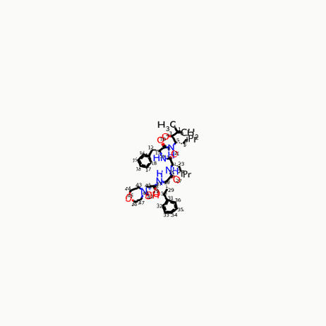 C=C(C)C(=O)[C@H](CC(C)C)NC(=O)[C@H](Cc1ccccc1)NC(=O)[C@H](CC(C)C)NC(=O)[C@H](CCc1ccccc1)NC(=O)C[N+]1(O)CCOCC1